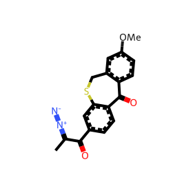 COc1ccc2c(c1)CSc1cc(C(=O)C(C)=[N+]=[N-])ccc1C2=O